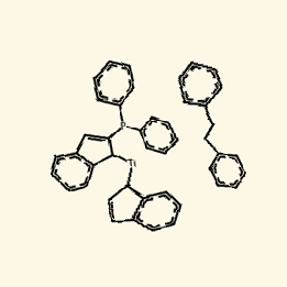 C1=C[CH]([Ti][CH]2C(P(c3ccccc3)c3ccccc3)=Cc3ccccc32)c2ccccc21.c1ccc(CCc2ccccc2)cc1